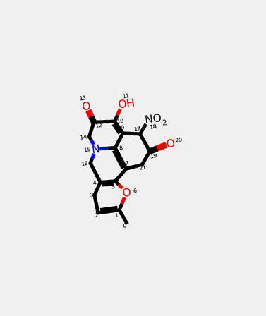 CC1=CCC2=C(O1)C1=C3C(=C(O)C(=O)CN3C2)C([N+](=O)[O-])C(=O)C1